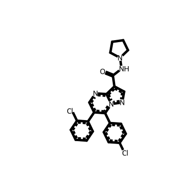 O=C(NN1CCCC1)c1cnn2c(-c3ccc(Cl)cc3)c(-c3ccccc3Cl)cnc12